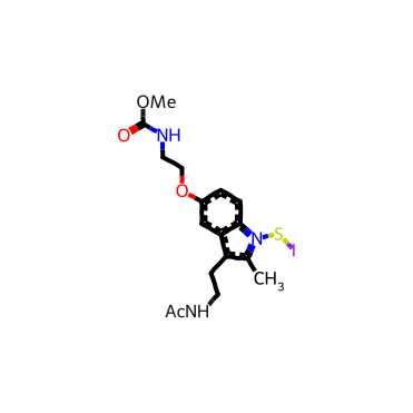 COC(=O)NCCOc1ccc2c(c1)c(CCNC(C)=O)c(C)n2SI